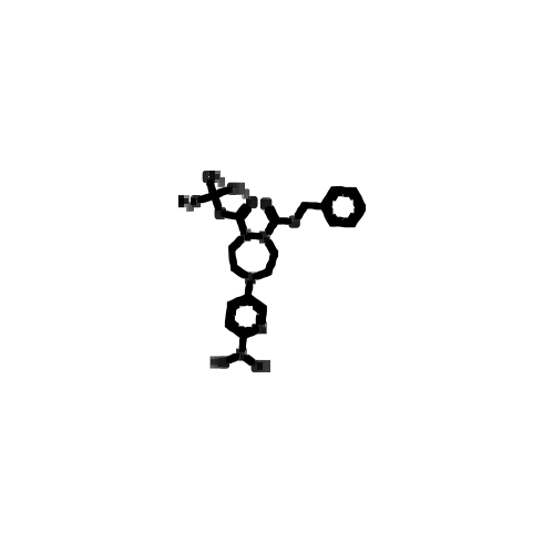 CC(C)(C)OC(=O)N1CCN(c2ccc(N(O)O)nc2)CCN1C(=O)OCc1ccccc1